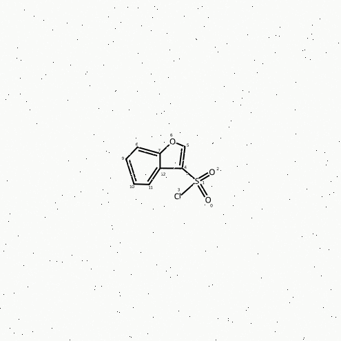 O=S(=O)(Cl)c1coc2ccccc12